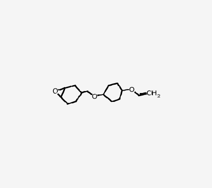 C=COC1CCC(OCC2CCC3OC3C2)CC1